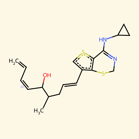 C=C/C=C\C(O)C(C)CC=Cc1csc2c1SCN=C2NC1CC1